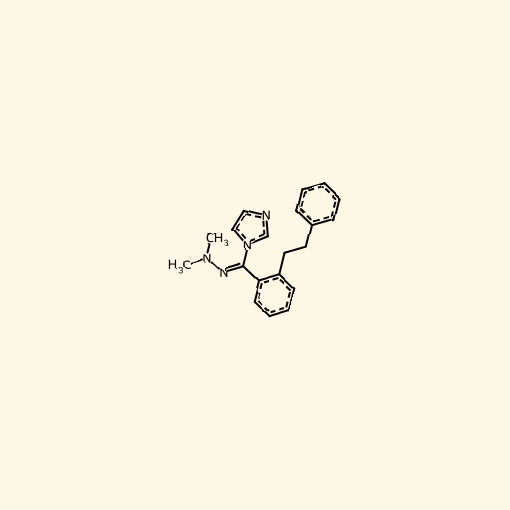 CN(C)/N=C(/c1ccccc1CCc1ccccc1)n1ccnc1